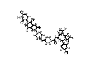 Cc1sc2c(c1C)C(c1ccc(Cl)cc1)=N[C@@H](CC(=O)N1CCC(CN3CCN(c4cc5c(C)nn(C6CCC(=O)NC6=O)c(=O)c5cc4F)CC3)CC1)c1nnc(C)n1-2